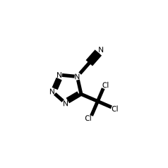 N#Cn1nnnc1C(Cl)(Cl)Cl